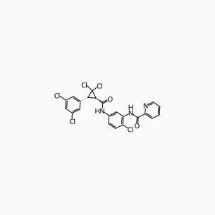 O=C(Nc1cc(NC(=O)[C@H]2[C@H](c3cc(Cl)cc(Cl)c3)C2(Cl)Cl)ccc1Cl)c1ccccn1